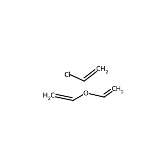 C=CCl.C=COC=C